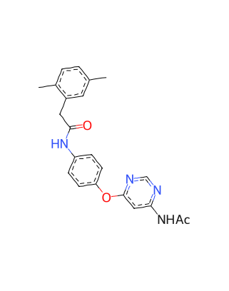 CC(=O)Nc1cc(Oc2ccc(NC(=O)Cc3cc(C)ccc3C)cc2)ncn1